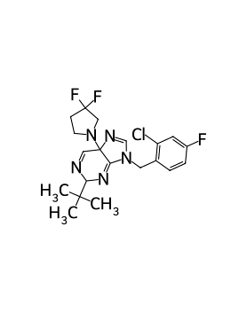 CC(C)(C)C1N=CC2(N3CCC(F)(F)C3)N=CN(Cc3ccc(F)cc3Cl)C2=N1